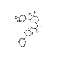 CC(C(=O)Nc1ccc(-c2ccccc2)cn1)N1CCC(F)(F)C(c2ccc(=O)[nH]c2)C1